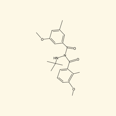 COc1cc(C)cc(C(=O)N(NC(C)(C)C)C(=O)c2cccc(OC)c2C)c1